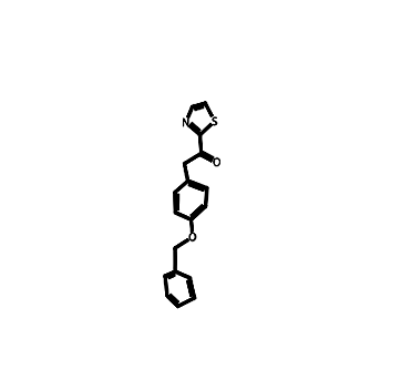 O=C(Cc1ccc(OCc2ccccc2)cc1)c1nccs1